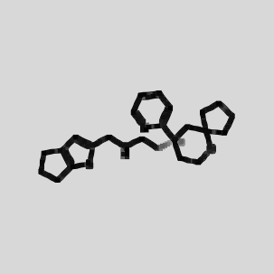 c1ccc([C@]2(CCNCc3cc4c(s3)CCC4)CCOC3(CCCC3)C2)nc1